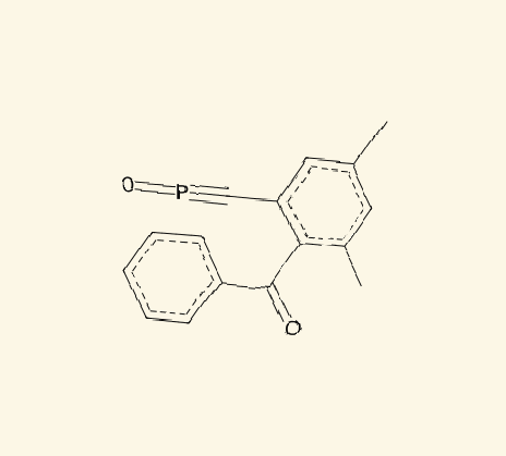 Cc1cc(C)c(C(=O)c2ccccc2)c(C#P=O)c1